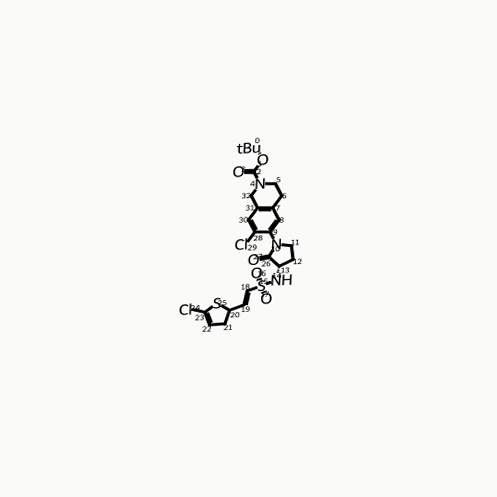 CC(C)(C)OC(=O)N1CCc2cc(N3CC[C@H](NS(=O)(=O)/C=C/C4CC=C(Cl)S4)C3=O)c(Cl)cc2C1